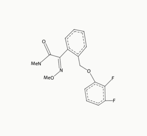 CNC(=O)/C(=N\OC)c1ccccc1COc1cccc(F)c1F